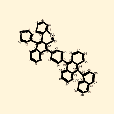 c1ccc(-c2c3ccccc3c(-c3ccc(-c4c5ccccc5c(-c5cccc6ccccc56)c5ccccc45)cc3)c3cnc4ccccc4c23)cc1